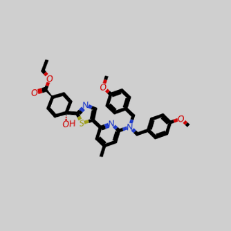 CCOC(=O)[C@H]1CC[C@@](O)(c2ncc(-c3cc(C)cc(N(Cc4ccc(OC)cc4)Cc4ccc(OC)cc4)n3)s2)CC1